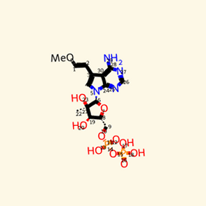 COC=Cc1cn([C@@H]2O[C@H](COP(=O)(O)OP(=O)(O)O)[C@@H](O)[C@@]2(C)O)c2ncnc(N)c12